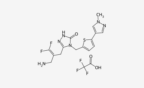 Cn1cc(-c2ccc(Cn3c(CC(CN)=C(F)F)n[nH]c3=O)s2)cn1.O=C(O)C(F)(F)F